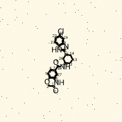 O=C1COc2ccc(C(=O)N[C@@H]3CCC[C@H](c4nc5cc(Cl)ccc5[nH]4)C3)cc2N1